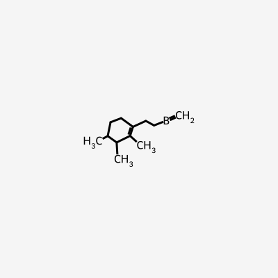 C=BCCC1=C(C)C(C)C(C)CC1